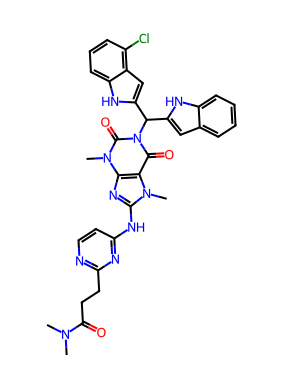 CN(C)C(=O)CCc1nccc(Nc2nc3c(c(=O)n(C(c4cc5ccccc5[nH]4)c4cc5c(Cl)cccc5[nH]4)c(=O)n3C)n2C)n1